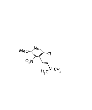 COc1ncc(Cl)c(/C=C/N(C)C)c1[N+](=O)[O-]